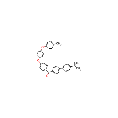 C=C(C)c1ccc(-c2ccc(C(=O)c3ccc(Oc4ccc(Oc5ccc(C)cc5)cc4)cc3)cc2)cc1